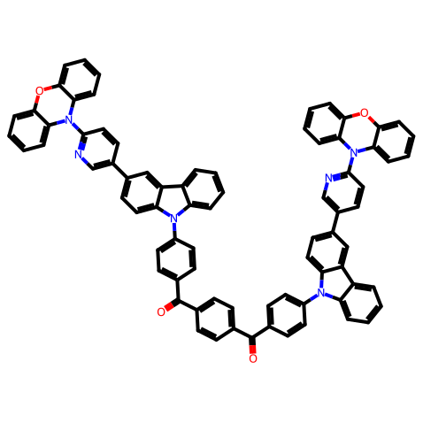 O=C(c1ccc(C(=O)c2ccc(-n3c4ccccc4c4cc(-c5ccc(N6c7ccccc7Oc7ccccc76)nc5)ccc43)cc2)cc1)c1ccc(-n2c3ccccc3c3cc(-c4ccc(N5c6ccccc6Oc6ccccc65)nc4)ccc32)cc1